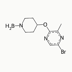 BN1CCC(Oc2ncc(Br)nc2C)CC1